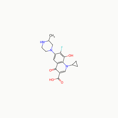 CC1CN(c2cc3c(=O)c(C(=O)O)cn(C4CC4)c3c(O)c2F)CCN1